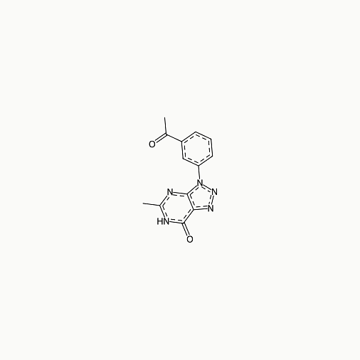 CC(=O)c1cccc(-n2nnc3c(=O)[nH]c(C)nc32)c1